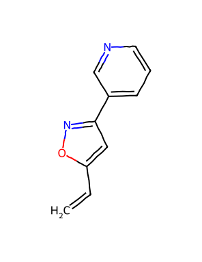 C=Cc1cc(-c2cccnc2)no1